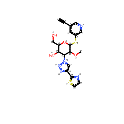 C#Cc1cncc(SC2OC(CO)C(O)C(n3cc(-c4nccs4)nn3)C2OC)c1